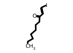 CCCCCCCC(=O)C=CI